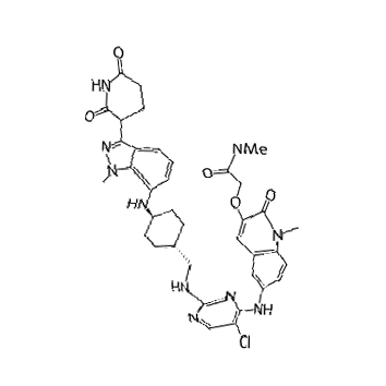 CNC(=O)COc1cc2cc(Nc3nc(NC[C@H]4CC[C@H](Nc5cccc6c(C7CCC(=O)NC7=O)nn(C)c56)CC4)ncc3Cl)ccc2n(C)c1=O